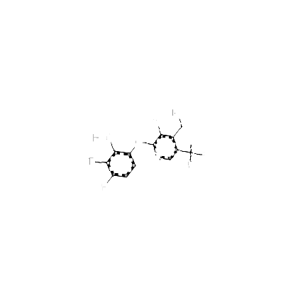 Cc1c(Oc2ncc(C(F)(F)F)c(CO)c2Br)ccc(F)c1F